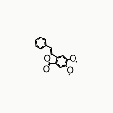 COc1cc2c(cc1OC)C(=Cc1ccccc1)OC2=O